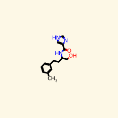 Cc1cccc(CCC(CO)NC(=O)c2c[nH]cn2)c1